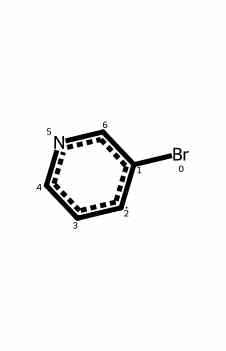 Brc1[c]ccnc1